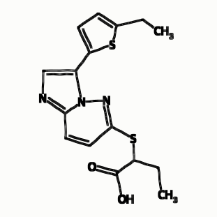 CCc1ccc(-c2cnc3ccc(SC(CC)C(=O)O)nn23)s1